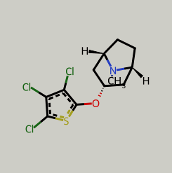 CN1[C@@H]2CC[C@H]1C[C@@H](Oc1sc(Cl)c(Cl)c1Cl)C2